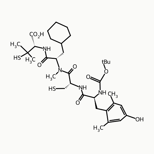 Cc1cc(O)cc(C)c1C[C@H](NC(=O)OC(C)(C)C)C(=O)N[C@H](CS)C(=O)N(C)[C@@H](CC1CCCCC1)C(=O)N[C@@H](C(=O)O)C(C)(C)S